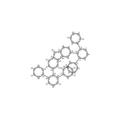 c1ccc(-c2cccc(-c3ccccc3)c2-c2ccc3sc4ccc(-c5c(-c6ccccc6)cccc5-c5ccccc5)cc4c3c2)cc1